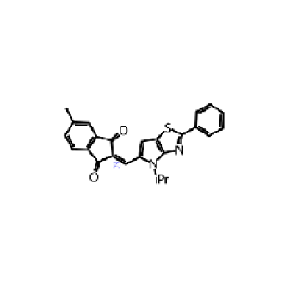 Cc1ccc2c(c1)C(=O)/C(=C\c1cc3sc(-c4ccccc4)nc3n1C(C)C)C2=O